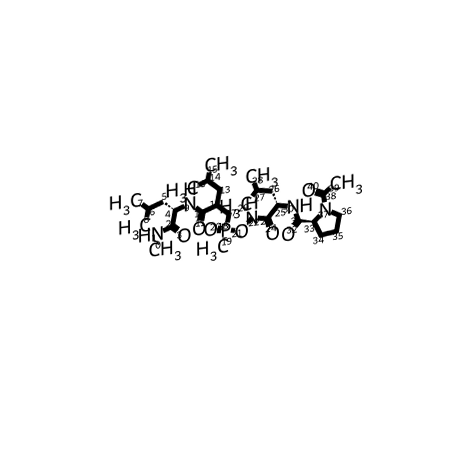 CNC(=O)[C@H](CC(C)C)NC(=O)C(CC(C)C)CP(C)(=O)ONC(=O)[C@H](CC(C)C)NC(=O)[C@@H]1CCCN1C(C)=O